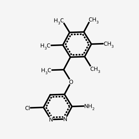 Cc1c(C)c(C)c(C(C)Oc2cc(Cl)nnc2N)c(C)c1C